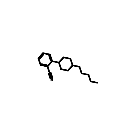 CCCCCC1CCC(c2ccccc2C#N)CC1